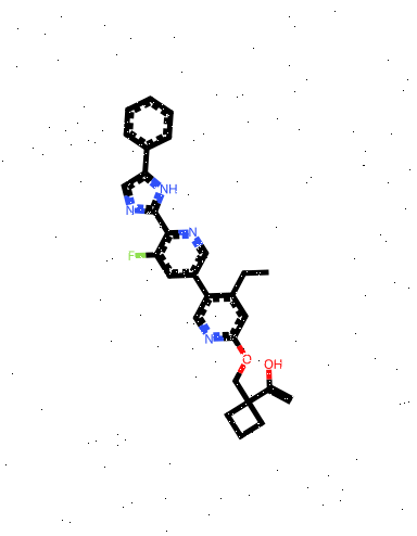 C=C(O)C1(COc2cc(CC)c(-c3cnc(-c4ncc(-c5ccccc5)[nH]4)c(F)c3)cn2)CCC1